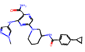 Cn1cc(Nc2nc(N3CCCC(NC(=O)c4ccc(C5CC5)cc4)C3)cnc2C(N)=O)cn1